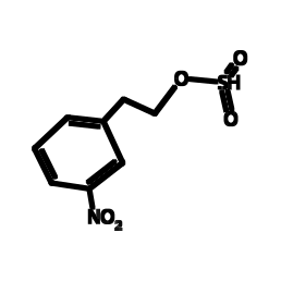 O=[N+]([O-])c1cccc(CCO[SH](=O)=O)c1